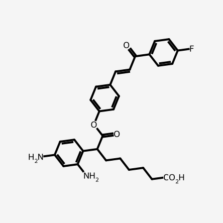 Nc1ccc(C(CCCCCC(=O)O)C(=O)Oc2ccc(C=CC(=O)c3ccc(F)cc3)cc2)c(N)c1